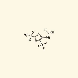 NS(=O)(=O)c1nc(C(F)(F)F)c(NC(=O)O)s1